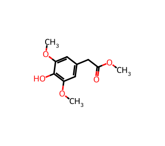 COC(=O)Cc1cc(OC)c(O)c(OC)c1